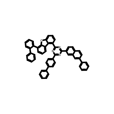 c1ccc(-c2ccc(-c3nc(-c4ccc5ccc(-c6ccccc6)cc5c4)nc(-c4cccc5oc6c(-c7ccccc7-c7ccccc7)cccc6c45)n3)cc2)cc1